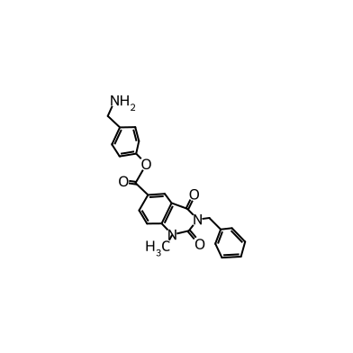 Cn1c(=O)n(Cc2ccccc2)c(=O)c2cc(C(=O)Oc3ccc(CN)cc3)ccc21